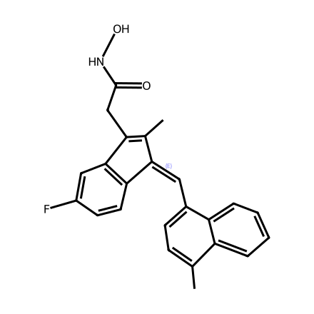 CC1=C(CC(=O)NO)c2cc(F)ccc2/C1=C\c1ccc(C)c2ccccc12